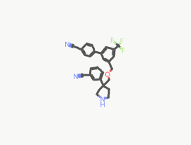 N#Cc1ccc(-c2cc(COCC3(c4cccc(C#N)c4)CCNCC3)cc(C(F)(F)F)c2)cc1